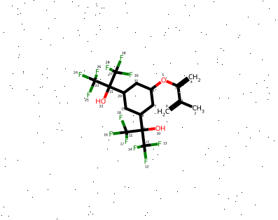 C=C(C)C(=C)OC1CC(C(O)(C(F)(F)F)C(F)(F)F)CC(C(O)(C(F)(F)F)C(F)(F)F)C1